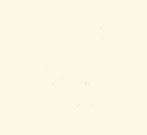 O=C(O)CCNC(=O)c1ccc(C2(c3ccc(-c4ccc(Cl)c(C(F)(F)F)c4)cc3)CCC(C(F)(F)F)CC2)cc1